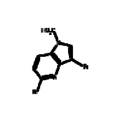 CC(C)c1cn(C(=O)O)c2ccc(Br)nc12